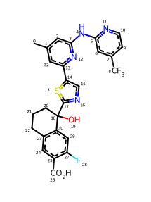 Cc1cc(Nc2cc(C(F)(F)F)ccn2)nc(-c2cnc(C3(O)CCCc4cc(C(=O)O)c(F)cc43)s2)c1